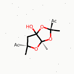 CC(=O)[C@]1(C)OC2(O)C[C@@](C)(C(C)=O)O[C@]2(C)O1